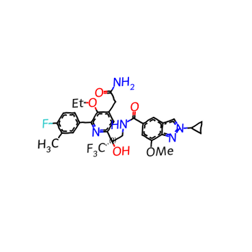 CCOc1c(CC(N)=O)cc([C@](O)(CNC(=O)c2cc(OC)c3nn(C4CC4)cc3c2)C(F)(F)F)nc1-c1ccc(F)c(C)c1